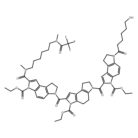 CCOC(=O)n1c(C(=O)N2CCc3c2ccc2c3cc(C(=O)N(C)CCCCCCN(C)C(=O)C(F)(F)F)n2C(=O)OCC)cc2c1CCC1=C2CCN1C(=O)c1cc2c3c(ccc2n1C(=O)OCC)N(C(=O)CCCCCO)CC3